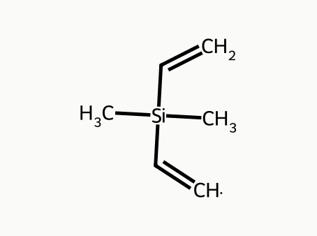 [CH]=C[Si](C)(C)C=C